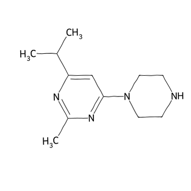 Cc1nc(C(C)C)cc(N2CCNCC2)n1